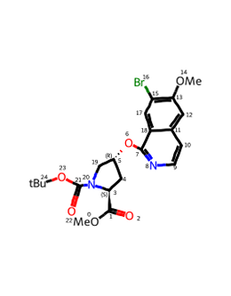 COC(=O)[C@@H]1C[C@@H](Oc2nccc3cc(OC)c(Br)cc23)CN1C(=O)OC(C)(C)C